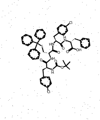 CC(C)(C)OC(=O)N[C@@H](Cc1ccc(Cl)cc1)C(=O)N[C@H](CSC(c1ccccc1)(c1ccccc1)c1ccccc1)C(=O)N[C@@H](Cc1ccc(Cl)cc1)C(=O)N[C@H](Cc1ccccc1)C(=O)O